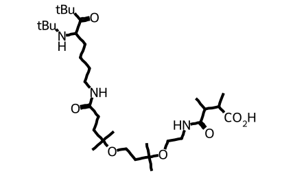 CC(C(=O)O)C(C)C(=O)NCCOC(C)(C)CCOC(C)(C)CCC(=O)NCCCCC(NC(C)(C)C)C(=O)C(C)(C)C